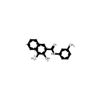 Cc1cccc(NC(=O)c2cc3ccccc3c(C)c2O)c1